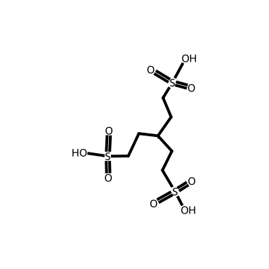 O=S(=O)(O)CC[C](CCS(=O)(=O)O)CCS(=O)(=O)O